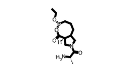 CCOB1CCCC2CN(C(=O)[C@H](C)N)C[C@H]2C(=O)O1